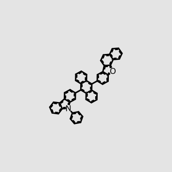 c1ccc(-n2c3ccccc3c3ccc(-c4c5ccccc5c(-c5ccc6oc7c8ccccc8ccc7c6c5)c5ccccc45)cc32)cc1